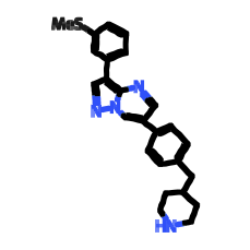 CSc1cccc(-c2cnn3cc(-c4ccc(CC5CCNCC5)cc4)cnc23)c1